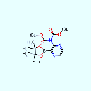 CC(C)(C)OC(=O)N(C(=O)OC(C)(C)C)c1nccnc1B1OC(C)(C)C(C)(C)O1